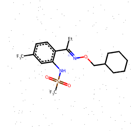 CC/C(=N\OCC1CCCCC1)c1ccc(C(F)(F)F)cc1NS(=O)(=O)C(F)(F)F